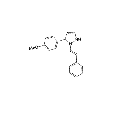 COc1ccc(C2C=CNN2C=Cc2ccccc2)cc1